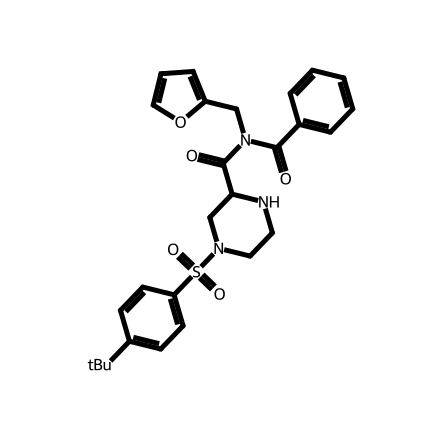 CC(C)(C)c1ccc(S(=O)(=O)N2CCNC(C(=O)N(Cc3ccco3)C(=O)c3ccccc3)C2)cc1